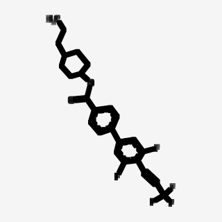 CCCC1CCC(OC(=O)c2ccc(-c3cc(F)c(C#CC(F)(F)F)c(F)c3)cc2)CC1